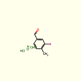 Cc1ccc(C=O)cc1I.Cl.Cl.Cl